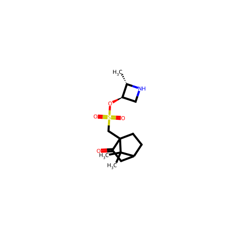 C[C@@H]1NC[C@H]1OS(=O)(=O)CC12CCC(CC1=O)C2(C)C